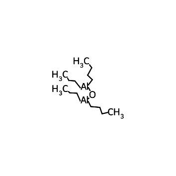 CCC[CH2][Al]([CH2]CCC)[O][Al]([CH2]CCC)[CH2]CCC